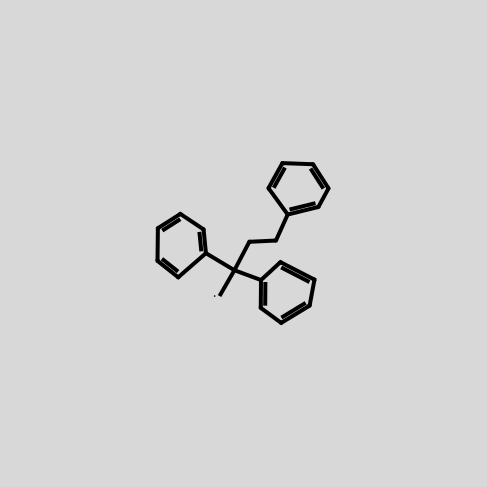 [CH2]C(CCc1ccccc1)(c1ccccc1)c1ccccc1